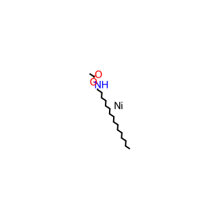 CCCCCCCCCCCCCCCCNOC(C)=O.[Ni]